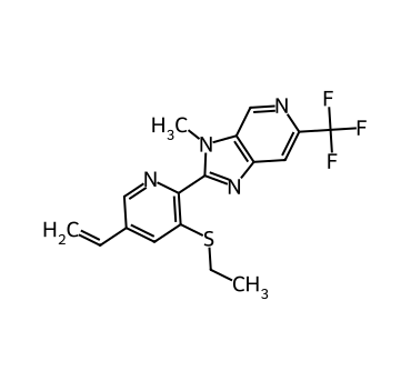 C=Cc1cnc(-c2nc3cc(C(F)(F)F)ncc3n2C)c(SCC)c1